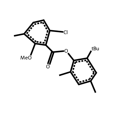 COc1c(C)ccc(Cl)c1C(=O)Oc1c(C)cc(C)cc1C(C)(C)C